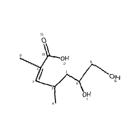 CC(=CC(C)CC(O)CO)C(=O)O